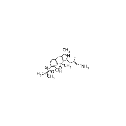 Cc1nn(C/C(F)=C/CN)c2c1Cc1ccc(S(=O)(=O)N(C)C)c(Cl)c1C2(C)O